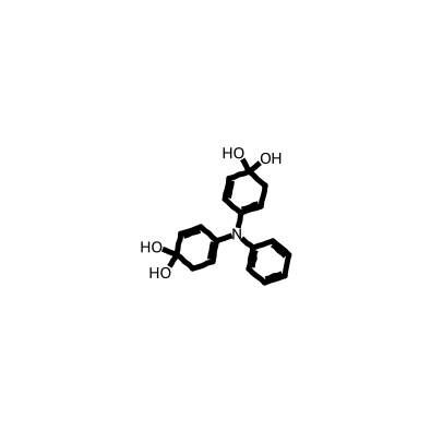 OC1(O)C=CC(N(C2=CCC(O)(O)C=C2)c2ccccc2)=CC1